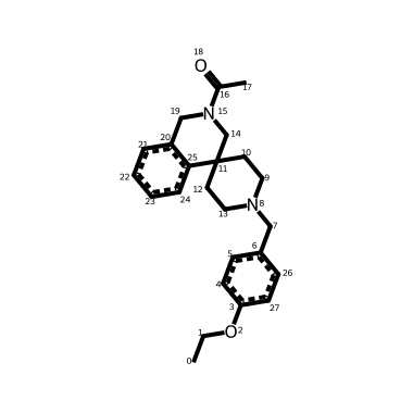 CCOc1ccc(CN2CCC3(CC2)CN(C(C)=O)Cc2ccccc23)cc1